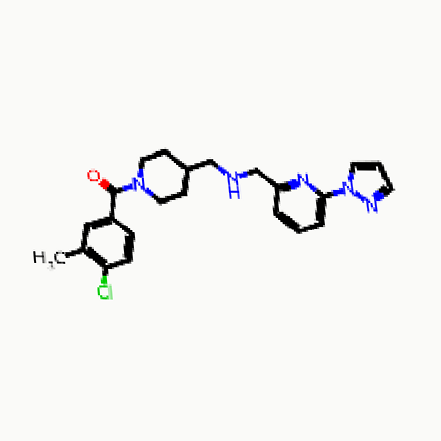 Cc1cc(C(=O)N2CCC(CNCc3cccc(-n4cccn4)n3)CC2)ccc1Cl